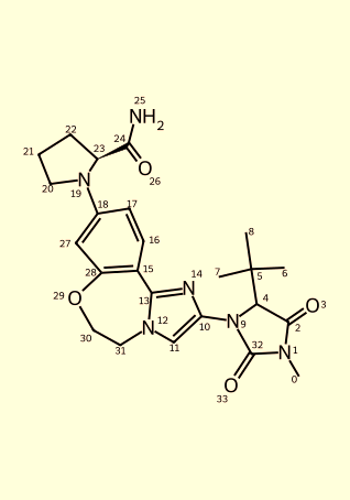 CN1C(=O)C(C(C)(C)C)N(c2cn3c(n2)-c2ccc(N4CCC[C@H]4C(N)=O)cc2OCC3)C1=O